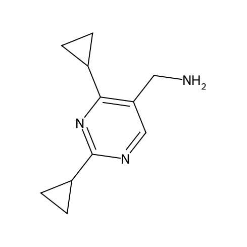 NCc1cnc(C2CC2)nc1C1CC1